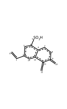 C=Cc1cc(S(=O)(=O)O)c2ccc(=C)c(=C)c2c1